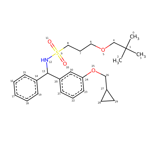 CC(C)(C)COCCCS(=O)(=O)NC(c1ccccc1)c1cccc(OCC2CC2)c1